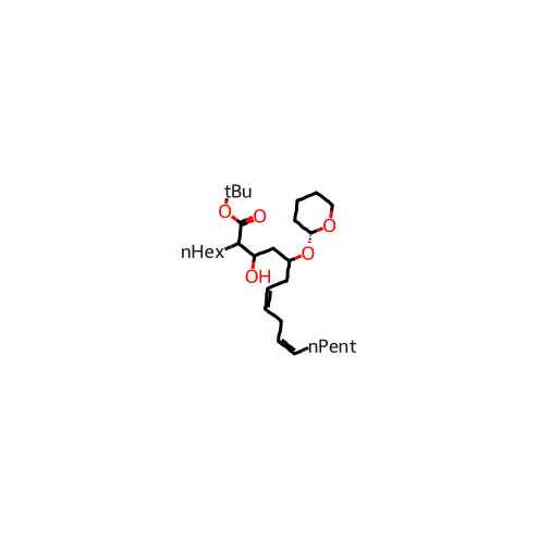 CCCCC/C=C\C/C=C\CC(CC(O)C(CCCCCC)C(=O)OC(C)(C)C)O[C@@H]1CCCCO1